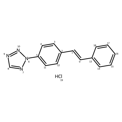 C(=Cc1ccc(-n2ncnn2)cc1)c1ccccc1.Cl